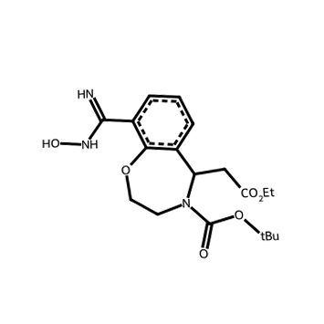 CCOC(=O)CC1c2cccc(C(=N)NO)c2OCCN1C(=O)OC(C)(C)C